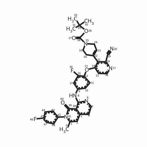 Cc1cc2ccnc(Nc3ccc(Oc4ccnc(C#N)c4C4=CCN(C(=O)OC(C)(C)C)CC4)c(F)c3)c2c(=O)n1-c1ccc(F)cc1